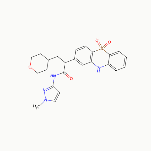 Cn1ccc(NC(=O)C(CC2CCOCC2)c2ccc3c(c2)Nc2ccccc2S3(=O)=O)n1